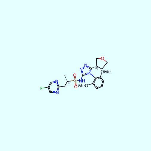 COc1cccc(OC)c1-n1c(NS(=O)(=O)[C@@H](C)Cc2ncc(F)cn2)nnc1[C@H]1CCOC1